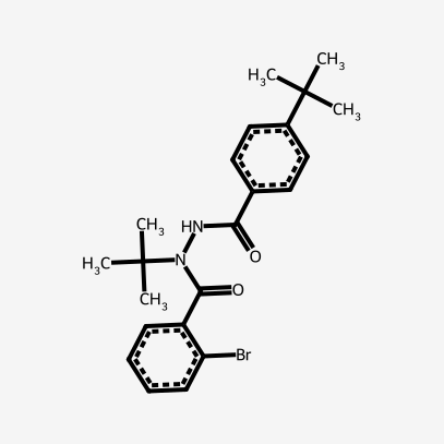 CC(C)(C)c1ccc(C(=O)NN(C(=O)c2ccccc2Br)C(C)(C)C)cc1